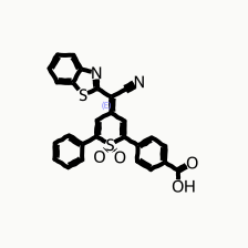 N#C/C(=C1/C=C(c2ccccc2)S(=O)(=O)C(c2ccc(C(=O)O)cc2)=C1)c1nc2ccccc2s1